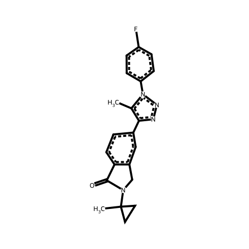 Cc1c(-c2ccc3c(c2)CN(C2(C)CC2)C3=O)nnn1-c1ccc(F)cc1